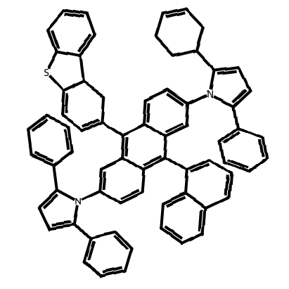 C1=CCC(c2ccc(-c3ccccc3)n2-c2ccc3c(C4=CC=C5Sc6ccccc6C5C4)c4cc(-n5c(-c6ccccc6)ccc5-c5ccccc5)ccc4c(-c4cccc5ccccc45)c3c2)CC1